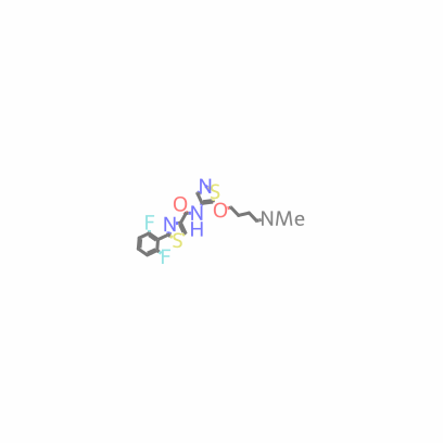 CNCCCCOc1sncc1NC(=O)c1csc(-c2c(F)cccc2F)n1